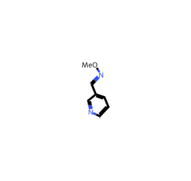 CON=Cc1cc[c]nc1